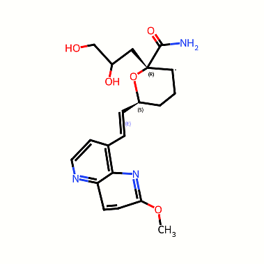 COc1ccc2nccc(/C=C/[C@@H]3CC[CH][C@@](CC(O)CO)(C(N)=O)O3)c2n1